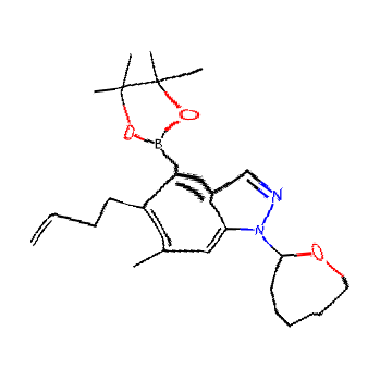 C=CCCc1c(C)cc2c(cnn2C2CCCCO2)c1B1OC(C)(C)C(C)(C)O1